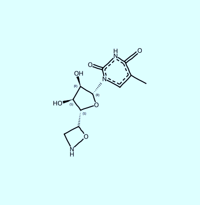 Cc1cn([C@@H]2O[C@H](C3CNO3)[C@@H](O)[C@H]2O)c(=O)[nH]c1=O